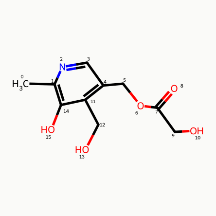 Cc1ncc(COC(=O)CO)c(CO)c1O